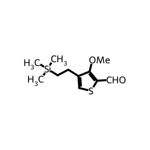 COc1c(CC[Si](C)(C)C)csc1C=O